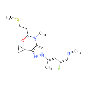 C=N/C=C(F)\C=C(/C)n1cc(N(C)C(=O)CCSC)c(C2CC2)n1